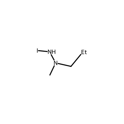 CCCN(C)NI